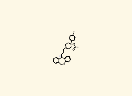 CC(=O)OC1(c2ccc(Cl)cc2)CCN(CC/C=C2/c3ccccc3COc3ccccc32)CC1